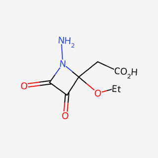 CCOC1(CC(=O)O)C(=O)C(=O)N1N